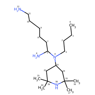 CCCCN(C(N)CCCCCN)C1CC(C)(C)NC(C)(C)C1